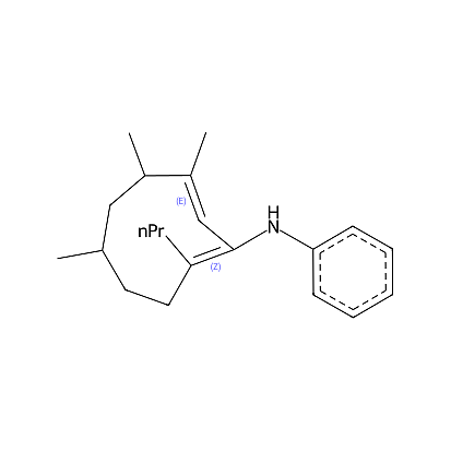 CCC/C1=C(Nc2ccccc2)\C=C(/C)C(C)CC(C)CC1